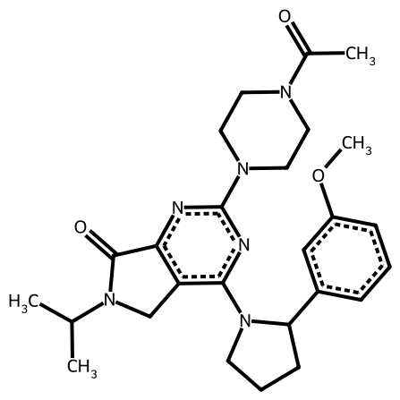 COc1cccc(C2CCCN2c2nc(N3CCN(C(C)=O)CC3)nc3c2CN(C(C)C)C3=O)c1